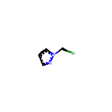 Br[CH]n1cccn1